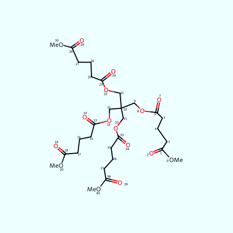 COC(=O)CCCC(=O)OCC(COC(=O)CCCC(=O)OC)(COC(=O)CCCC(=O)OC)COC(=O)CCCC(=O)OC